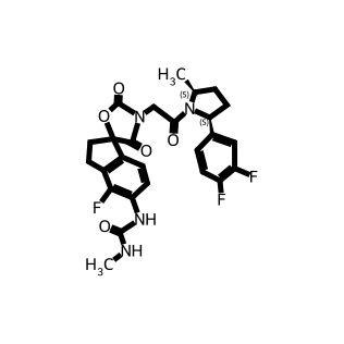 CNC(=O)Nc1ccc2c(c1F)CCC21OC(=O)N(CC(=O)N2[C@@H](C)CC[C@H]2c2ccc(F)c(F)c2)C1=O